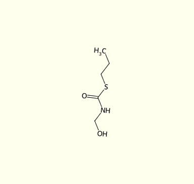 CCCSC(=O)NCO